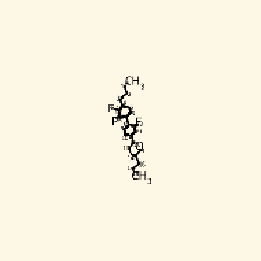 CCCCc1ccc(-c2ccc(C3CCC(CCC)CO3)cc2F)c(F)c1F